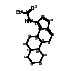 CCC(=O)NC1=C2C(=CCC3C2CCC2CCCCC23)C=C1